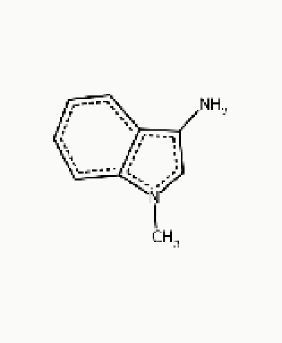 Cn1cc(N)c2ccccc21